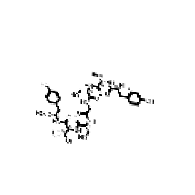 CC[C@H](C)[C@H](NC(=O)[C@@H](N)Cc1ccc(O)cc1)C(=O)N[C@@H](CO)C(=O)NCC(=O)N[C@@H](CO)C(=O)N[C@H](C(=O)N[C@@H](Cc1ccc(O)cc1)C(=O)O)[C@@H](C)O